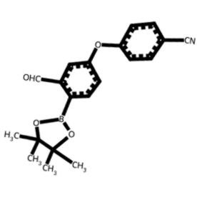 CC1(C)OB(c2ccc(Oc3ccc(C#N)cc3)cc2C=O)OC1(C)C